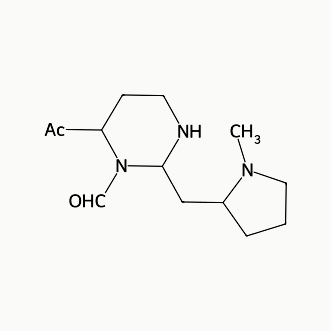 CC(=O)C1CCNC(CC2CCCN2C)N1C=O